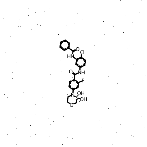 O=C(Nc1cc(NC(=O)c2ccc(N3CCOCS3(O)O)cc2F)ccc1Cl)c1ccccc1